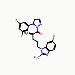 C=C(CCCn1c(C)nc2ccc(F)cc21)C(=O)N1N=CCC1c1cc(F)cc(F)c1